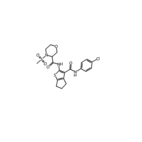 CS(=O)(=O)N1CCOCC1C(=O)Nc1sc2c(c1C(=O)Nc1ccc(Cl)cc1)CCC2